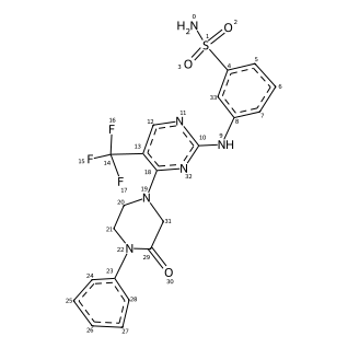 NS(=O)(=O)c1cccc(Nc2ncc(C(F)(F)F)c(N3CCN(c4ccccc4)C(=O)C3)n2)c1